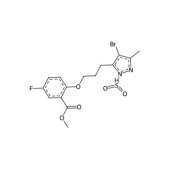 COC(=O)c1cc(F)ccc1OCCCc1c(Br)c(C)nn1[SH](=O)=O